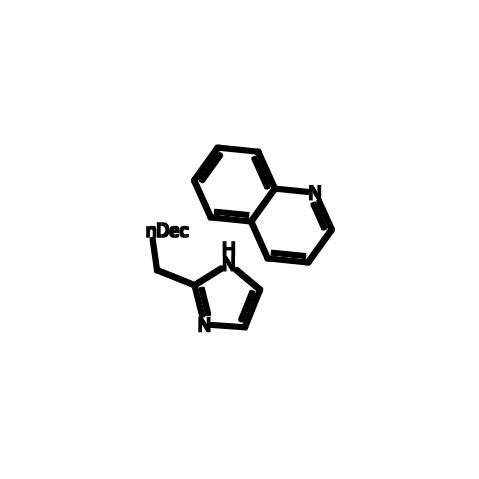 CCCCCCCCCCCc1ncc[nH]1.c1ccc2ncccc2c1